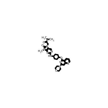 CN(C)C(=O)Cn1c(=O)n(C)c2nc(NC3CCC(Oc4nc(N5CCOCC5)cc5ncccc45)CC3)ncc21